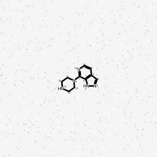 c1cc2cn[nH]c2c(N2CCNCC2)n1